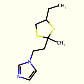 CCC1CSC(C)(CCn2ccnc2)S1